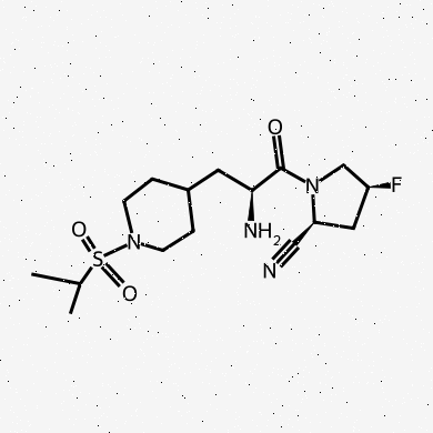 CC(C)S(=O)(=O)N1CCC(C[C@H](N)C(=O)N2C[C@@H](F)C[C@H]2C#N)CC1